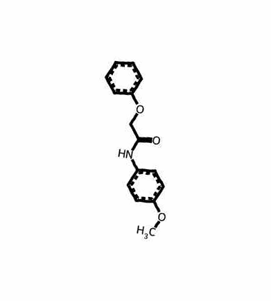 COc1ccc(NC(=O)COc2ccccc2)cc1